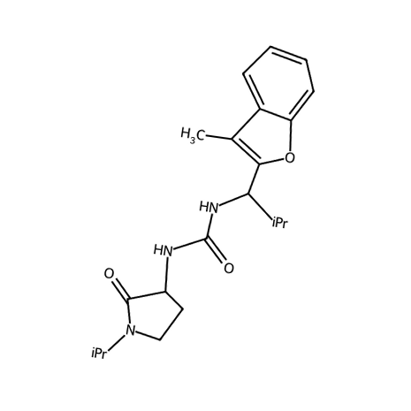 Cc1c(C(NC(=O)NC2CCN(C(C)C)C2=O)C(C)C)oc2ccccc12